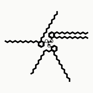 CCCCCCCCCCCCCc1cccc(OP(Oc2cccc(CCCCCCCCCCCCC)c2CCCCCCCCCCCCC)Oc2cccc(CCCCCCCCCCCCC)c2CCCCCCCCCCCCC)c1CCCCCCCCCCCCC